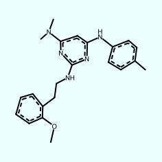 COc1ccccc1CCNc1nc(Nc2ccc(C)cc2)cc(N(C)C)n1